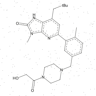 Cc1ccc(CN2CCN(C(=O)CO)CC2)cc1-c1cc(CC(C)(C)C)c2[nH]c(=O)n(C)c2n1